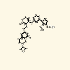 CCOc1c(C(=O)O)cnn1-c1cccc(CC2=CCCC(C)=C2CCc2cc(C)c3c(c2)CCN(C2COC2)C3)n1